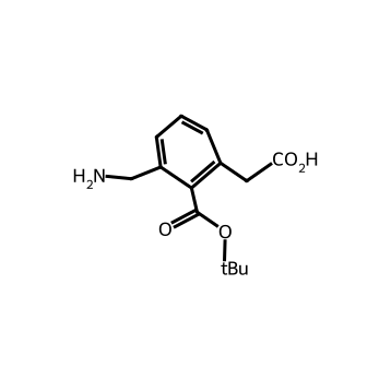 CC(C)(C)OC(=O)c1c(CN)cccc1CC(=O)O